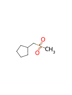 CS(=O)(=O)CC1CCCC1